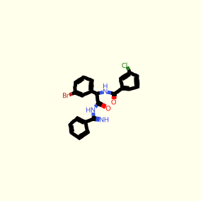 N=C(NC(=O)C(NC(=O)c1cccc(Cl)c1)c1cccc(Br)c1)c1ccccc1